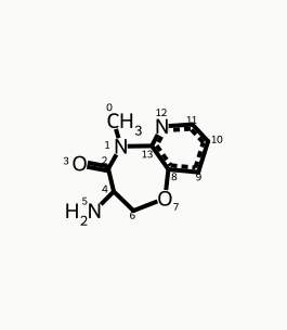 CN1C(=O)C(N)COc2cccnc21